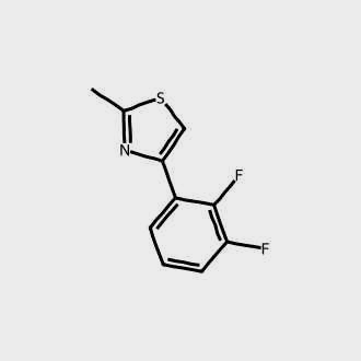 Cc1nc(-c2cccc(F)c2F)cs1